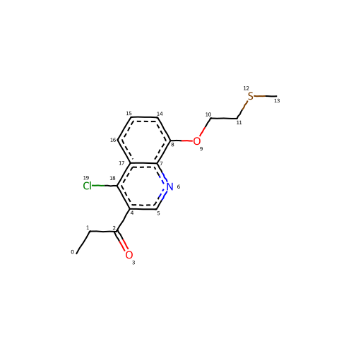 CCC(=O)c1cnc2c(OCCSC)cccc2c1Cl